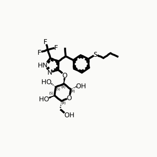 CCCSc1cccc(C(C)c2c(O[C@@H]3[C@@H](O)[C@H](O)[C@@H](CO)O[C@H]3O)n[nH]c2C(F)(F)F)c1